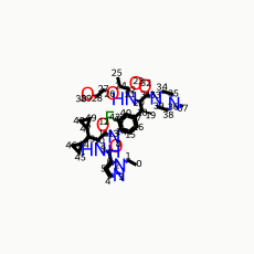 CCn1nccc1C(=O)N[C@H](C(=O)Nc1ccc([C@H](C)[C@@H](NC(=O)C(C)OCCOC)C(=O)N2CCN(C)CC2)cc1F)C(C1CC1)C1CC1